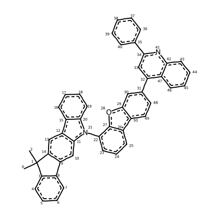 CC1(C)c2ccccc2-c2cc3c(cc21)c1ccccc1n3-c1cccc2c1oc1cc(-c3cc(-c4ccccc4)nc4ccccc34)ccc12